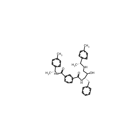 Cc1ccc([C@@H](C)NC[C@@H](O)[C@H](Cc2ccccc2)NC(=O)c2cccc(C(=O)N[C@H](C)c3ccc(C)cc3)c2)cc1